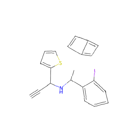 C#CC(NC(C)c1ccccc1I)c1cccs1.c1cc2ccc1-2